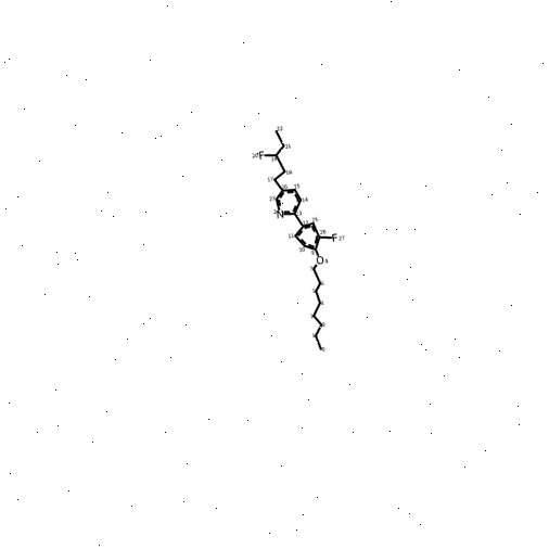 CCCCCCCCOc1ccc(-c2ccc(CCC(F)CC)cn2)cc1F